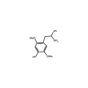 CCCc1cc(OC)c(CC(N)CCC)cc1OC